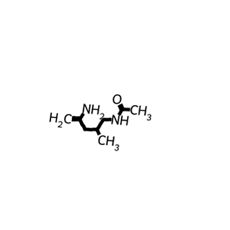 C=C(N)CC(C)CNC(C)=O